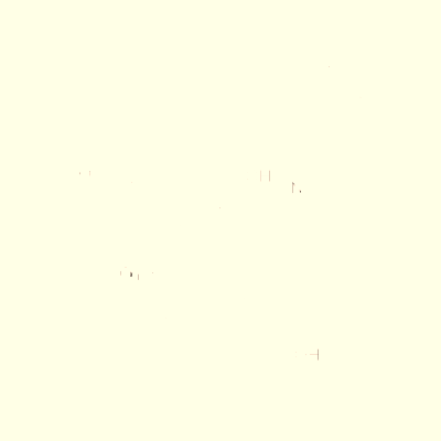 CCC[C@@]12c3c4ccc(O)c3CC(N(C)CC3CC3)C1(O)CCC(=O)C2O4